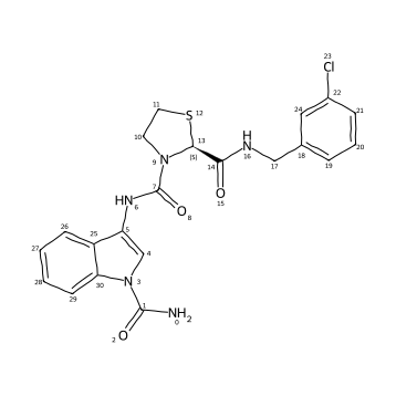 NC(=O)n1cc(NC(=O)N2CCS[C@H]2C(=O)NCc2cccc(Cl)c2)c2ccccc21